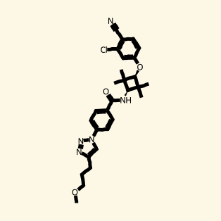 COCCCc1cn(-c2ccc(C(=O)N[C@H]3C(C)(C)[C@H](Oc4ccc(C#N)c(Cl)c4)C3(C)C)cc2)nn1